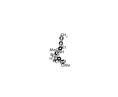 CCc1cc(Nc2ncc(Br)c(Nc3ccc(-c4cncc(OC)n4)cc3P(C)(C)=O)n2)c(OC)cc1N1CCC(N2CCN(C)CC2)CC1